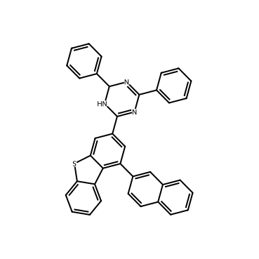 c1ccc(C2=NC(c3ccccc3)NC(c3cc(-c4ccc5ccccc5c4)c4c(c3)sc3ccccc34)=N2)cc1